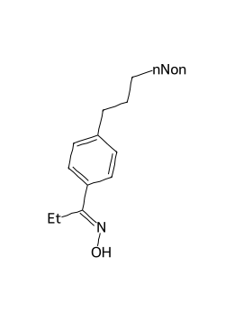 CCCCCCCCCCCCc1ccc(C(CC)=NO)cc1